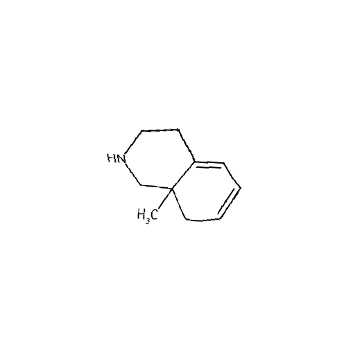 CC12CC=CC=C1CCNC2